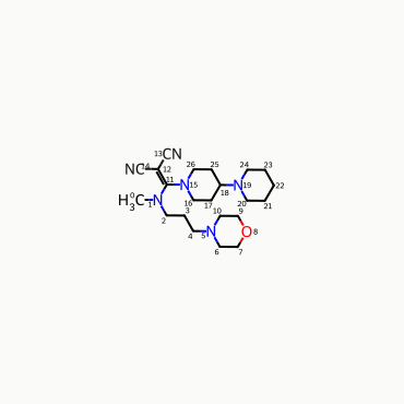 CN(CCCN1CCOCC1)C(=C(C#N)C#N)N1CCC(N2CCCCC2)CC1